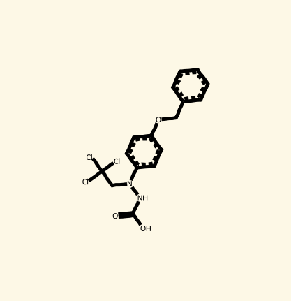 O=C(O)NN(CC(Cl)(Cl)Cl)c1ccc(OCc2ccccc2)cc1